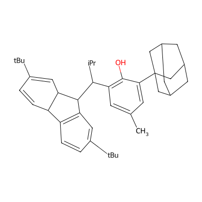 Cc1cc(C(C(C)C)C2c3cc(C(C)(C)C)ccc3C3C=CC(C(C)(C)C)=CC32)c(O)c(C23CC4CC(CC(C4)C2)C3)c1